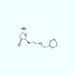 CCCC[C@H]1CC(=O)[C@H](CCCOCc2ccccc2)O1